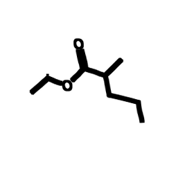 C[CH]OC(=O)C(C)CCC